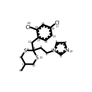 CC1CSC(CCn2ccnc2)(Cc2ccc(Cl)cc2Cl)SC1